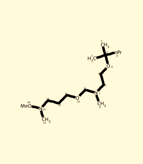 CCCC(C)(C)OCCN(C)COCCCN(C)OC